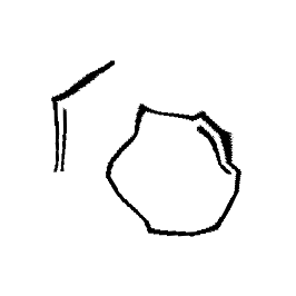 C1=CCCCC1.C=CC